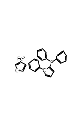 [Fe+2].c1cc[cH-]c1.c1ccc(-[c-]2cccc2P(c2ccccc2)c2ccccc2)cc1